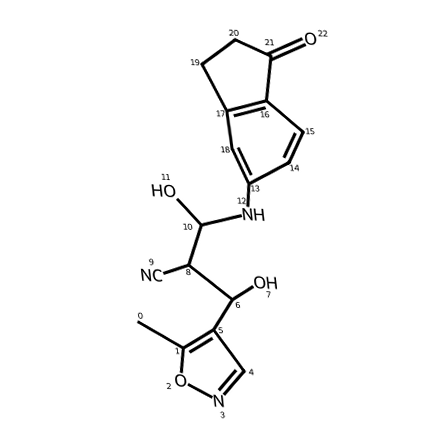 Cc1oncc1C(O)C(C#N)C(O)Nc1ccc2c(c1)CCC2=O